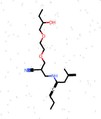 C=C(C)CC(=C=CCC)NCC(C#N)COCCOCC(O)CC